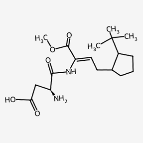 COC(=O)C(=CCC1CCCC1C(C)(C)C)NC(=O)[C@@H](N)CC(=O)O